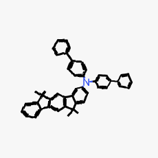 CC1(C)c2ccccc2-c2cc3c(cc21)-c1cc(N(c2ccc(-c4ccccc4)cc2)c2ccc(-c4ccccc4)cc2)ccc1C3(C)C